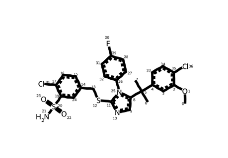 COc1cc(C(C)(C)c2cnc(SCc3ccc(Cl)c(S(N)(=O)=O)c3)n2-c2ccc(F)cc2)ccc1Cl